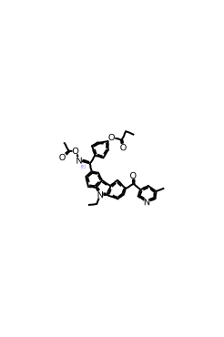 CCC(=O)Oc1ccc(/C(=N\OC(C)=O)c2ccc3c(c2)c2cc(C(=O)c4cncc(C)c4)ccc2n3CC)cc1